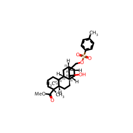 COC(=O)[C@]1(C)CCC[C@@]2(C)[C@@H]3C[C@@H]4CC[C@@]3(CC[C@@H]21)[C@@H](O)[C@H]4COS(=O)(=O)c1ccc(C)cc1